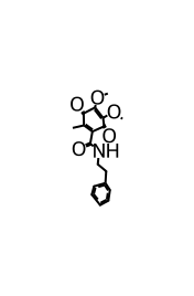 COC1=C(OC)C(=O)C(C(=O)NCCc2ccccc2)=C(C)C1=O